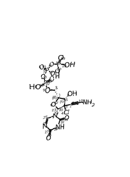 NC#CC1(Cl)[C@@H](O)[C@@H](COP(=O)(O)OP(=O)(O)OP(=O)(O)O)O[C@H]1n1cnc(=O)[nH]c1=O